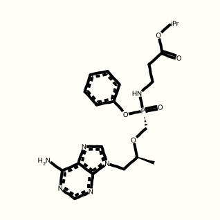 CC(C)OC(=O)CCN[P@](=O)(CO[C@@H](C)Cn1cnc2c(N)ncnc21)Oc1ccccc1